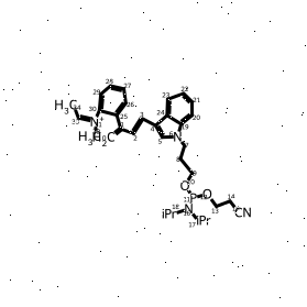 C=C(/C=C/c1cn(CCCOP(OCCC#N)N(C(C)C)C(C)C)c2ccccc12)c1ccccc1/[N+](C)=C\C